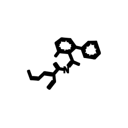 C=C/C(=C\C=C/C)C(=C)/N=C(/C)c1c(C)cccc1-c1ccccc1